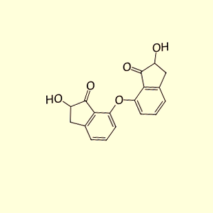 O=C1c2c(cccc2Oc2cccc3c2C(=O)C(O)C3)CC1O